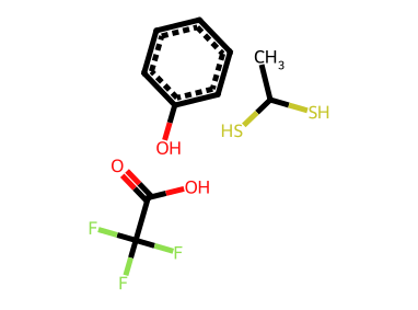 CC(S)S.O=C(O)C(F)(F)F.Oc1ccccc1